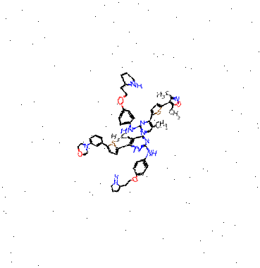 Cc1cnc(Nc2ccc(OCCC3CCCN3)cc2)nc1-c1ccc(-c2c(C)noc2C)s1.Cc1cnc(Nc2ccc(OCCC3CCCN3)cc2)nc1-c1ccc(-c2cccc(N3CCOCC3)c2)s1